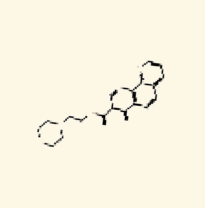 O=C(OCCN1CCOCC1)C1C=Nc2c(ccc3cccnc23)C1=O